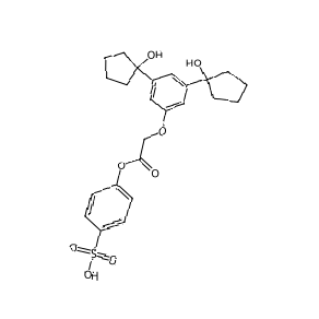 O=C(COc1cc(C2(O)CCCC2)cc(C2(O)CCCC2)c1)Oc1ccc(S(=O)(=O)O)cc1